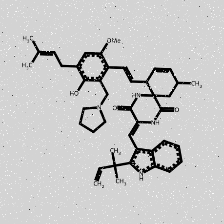 C=CC(C)(C)c1[nH]c2ccccc2c1/C=C1\NC(=O)C2(CC(C)C=CC2/C=C/c2c(OC)cc(CC=C(C)C)c(O)c2CN2CCCC2)NC1=O